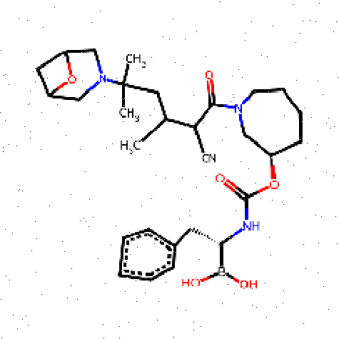 CC(CC(C)(C)N1CC2CC(C1)O2)C(C#N)C(=O)N1CCCC[C@@H](OC(=O)N[C@@H](Cc2ccccc2)B(O)O)C1